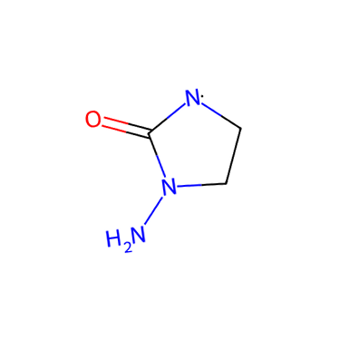 NN1CC[N]C1=O